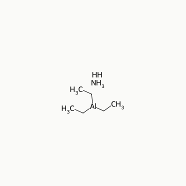 C[CH2][Al]([CH2]C)[CH2]C.N.[HH]